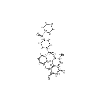 O=C(c1cccc(Cn2c(=O)[nH]c(=O)c3cc(Br)ccc32)c1)N1CCN(C(=O)C2CCCCC2)CC1